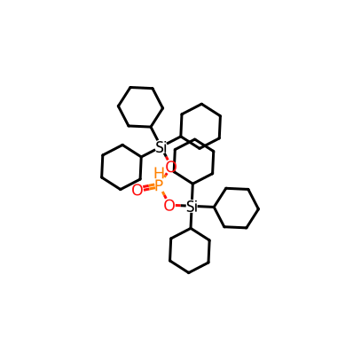 O=[PH](O[Si](C1CCCCC1)(C1CCCCC1)C1CCCCC1)O[Si](C1CCCCC1)(C1CCCCC1)C1CCCCC1